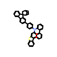 c1ccc(-c2ccccc2N(c2ccc(-c3ccc4c(c3)C3(CC5CCC3C5)c3ccccc3-4)cc2)c2ccc3c(c2)sc2ccccc23)cc1